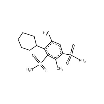 Cc1cc(S(N)(=O)=O)c(C)c(S(N)(=O)=O)c1C1CCCCC1